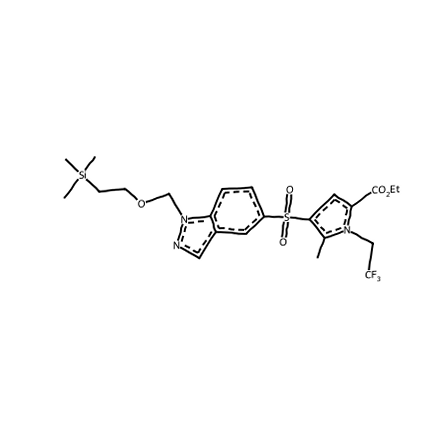 CCOC(=O)c1cc(S(=O)(=O)c2ccc3c(cnn3COCC[Si](C)(C)C)c2)c(C)n1CC(F)(F)F